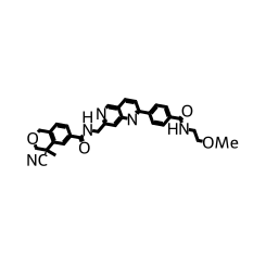 COCCNC(=O)c1ccc(-c2ccc3cnc(CNC(=O)c4ccc5c(c4)[C@](C)(C#N)COC5)cc3n2)cc1